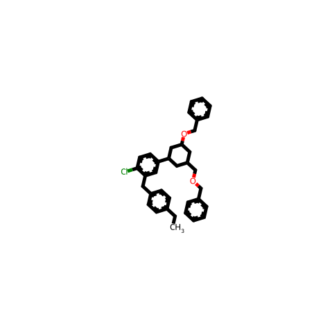 CCc1ccc(Cc2cc(C3CC(COCc4ccccc4)CC(OCc4ccccc4)C3)ccc2Cl)cc1